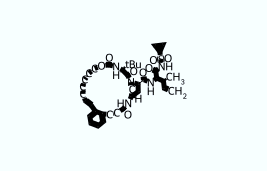 C=C[C@H](C)C(NC(=O)[C@@H]1C[C@@H]2CN1C(=O)[C@H](C(C)(C)C)NC(=O)OCCCCC/C=C/c1ccccc1CCC(=O)N2)C(=O)NS(=O)(=O)C1CC1